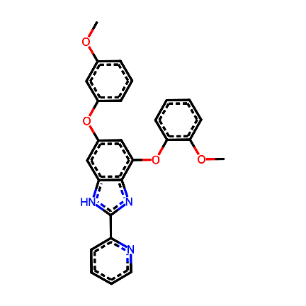 COc1cccc(Oc2cc(Oc3ccccc3OC)c3nc(-c4ccccn4)[nH]c3c2)c1